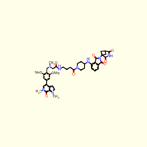 COc1cc(-c2cn(C)c(=O)c3c2ccn3C)cc(OC)c1CN(C)CC(=O)NCCCC(=O)N1CCC(Nc2cccc3c2C(=O)N(C24CC(C2)C(=O)NC4=O)C3=O)CC1